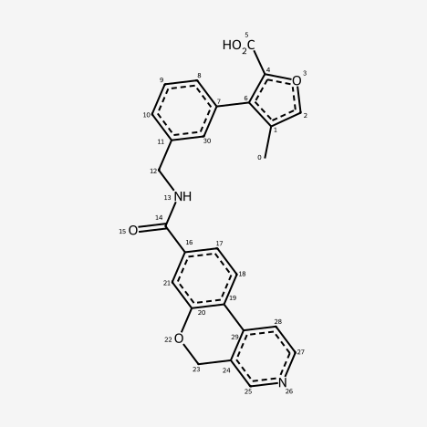 Cc1coc(C(=O)O)c1-c1cccc(CNC(=O)c2ccc3c(c2)OCc2cnccc2-3)c1